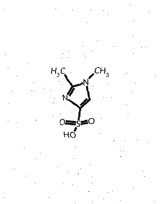 Cc1nc(S(=O)(=O)O)cn1C